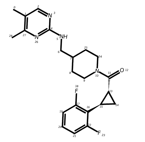 Cc1cnc(NCC2CCN(C(=O)[C@@H]3C[C@H]3c3c(F)cccc3F)CC2)nc1C